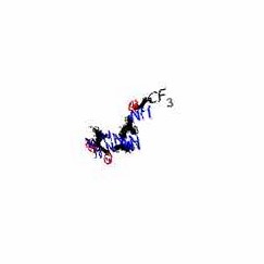 O=C(CCC(F)(F)F)NCc1cnn2cc(CNC(=O)c3nonc3C3CC3)nc2c1